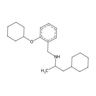 CC(CC1CCCCC1)NCc1ccccc1OC1CCCCC1